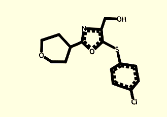 OCc1nc(C2CCOCC2)oc1Sc1ccc(Cl)cc1